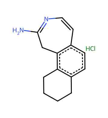 Cl.NC1=NC=Cc2ccc3c(c2C1)CCCC3